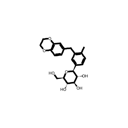 Cc1ccc([C@@H]2O[C@H](CO)[C@@H](O)[C@H](O)[C@H]2O)cc1Cc1ccc2c(c1)OCCO2